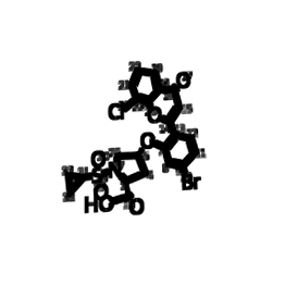 O=C(O)[C@@H]1C[C@H](Oc2cc(Br)ccc2-c2cc(=O)c3cccc(Cl)c3o2)CN1S(=O)(=O)C1CC1